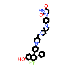 O=C1CCN(c2ccc(N3CC[C@]4(CCN(CC5CCN(c6ccc([C@@H]7c8ccc(O)cc8C(F)(F)C[C@@H]7c7ccccc7)cc6)CC5)C4)C3)cc2)C(=O)N1